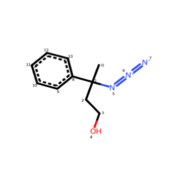 CC(CCO)(N=[N+]=[N-])c1ccccc1